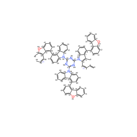 C=C/C=C\c1c(C)c2c(-c3cccc4oc5ccccc5c34)cccc2n1-c1nc(-n2c3ccccc3c3c(-c4cccc5oc(C)c(/C=C\C)c45)cccc32)nc(-n2c3ccccc3c3c(-c4cccc5oc6ccccc6c45)cccc32)n1